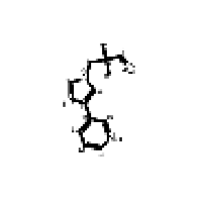 CC(C)(C=O)Cn1cnc(-c2cccnc2)c1